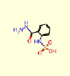 NNC(=O)c1ccccc1NS(=O)(=O)O